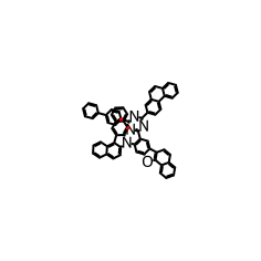 c1ccc(-c2ccc(-c3nc(-c4ccc5c(ccc6ccccc65)c4)nc(-c4cc5c(cc4-n4c6cc7ccccc7cc6c6c7ccccc7ccc64)oc4c6ccccc6ccc54)n3)cc2)cc1